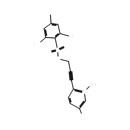 Cc1cc(C)c(S(=O)(=O)OCC#Cc2ccc(C)c[n+]2N)c(C)c1